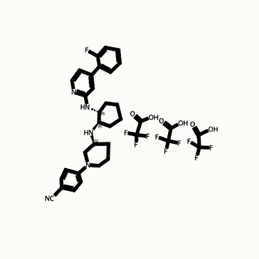 N#Cc1ccc(N2CCC[C@H](N[C@@H]3CCCC[C@H]3Nc3cc(-c4ccccc4F)ccn3)C2)cc1.O=C(O)C(F)(F)F.O=C(O)C(F)(F)F.O=C(O)C(F)(F)F